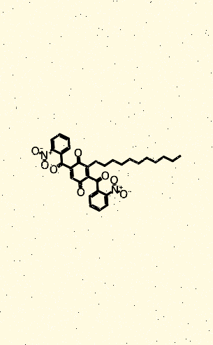 CCCCCCCCCCCC1=C(C(=O)c2ccccc2[N+](=O)[O-])C(=O)C=C(C(=O)c2ccccc2[N+](=O)[O-])C1=O